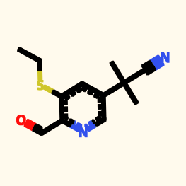 CCSc1cc(C(C)(C)C#N)cnc1C=O